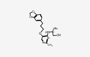 CCCC[C@@H](CO)Nc1nc(C)ncc1OCCCc1ccc2c(c1)OCO2